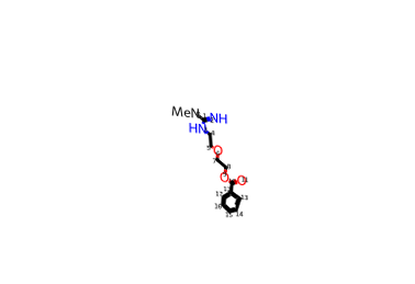 CNC(=N)NCCOCCOC(=O)c1ccccc1